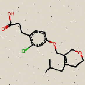 CC(C)CC1=C(COc2ccc(CCC(=O)O)c(Cl)c2)COCC1